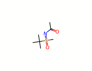 CC(=O)N=S(C)(=O)C(C)(C)C